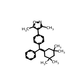 Cc1noc(C)c1-c1ccc(C(=C2CC(C)(C)CC(C)(C)C2)c2ccccc2)cc1